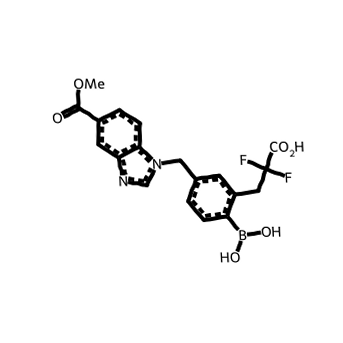 COC(=O)c1ccc2c(c1)ncn2Cc1ccc(B(O)O)c(CC(F)(F)C(=O)O)c1